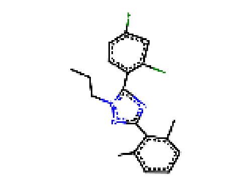 CCCn1nc(-c2c(C)cccc2C)nc1-c1ccc(F)cc1F